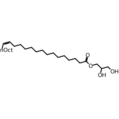 CCCCCCCC/C=C\CCCCCCCCCCCCCC(=O)OCC(O)CO